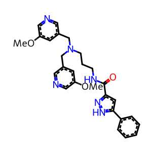 COc1cncc(CN(CCCNC(=O)c2cc(-c3ccccc3)[nH]n2)Cc2cncc(OC)c2)c1